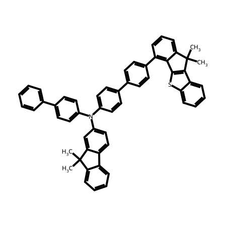 CC1(C)c2ccccc2-c2ccc(N(c3ccc(-c4ccccc4)cc3)c3ccc(-c4ccc(-c5cccc6c5-c5sc7ccccc7c5C6(C)C)cc4)cc3)cc21